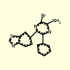 Nc1nc(-c2ccccc2)c(-c2ccc3ncsc3c2)nc1Br